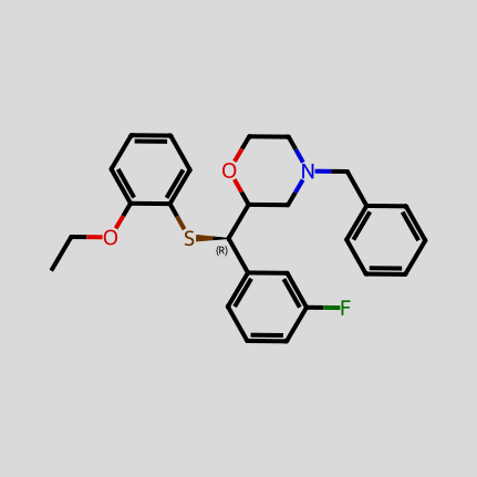 CCOc1ccccc1S[C@H](c1cccc(F)c1)C1CN(Cc2ccccc2)CCO1